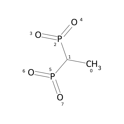 CC(P(=O)=O)P(=O)=O